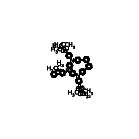 CC1(C)c2ccccc2-c2ccc(-n3c4ccc(N(c5ccc(B6OC(C)(C)C(C)(C)O6)cc5)c5ccc(-c6ccccc6)cc5)cc4c4cc(N(c5ccc(B6OC(C)(C)C(C)(C)O6)cc5)c5ccc(-c6ccccc6)cc5)ccc43)cc21